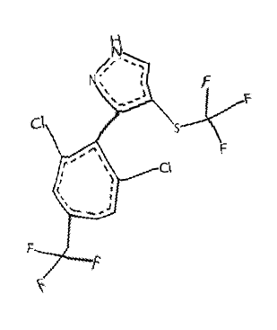 FC(F)(F)Sc1c[nH]nc1-c1c(Cl)cc(C(F)(F)F)cc1Cl